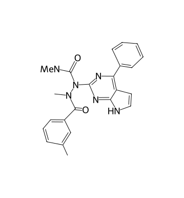 CNC(=O)N(c1nc(-c2ccccc2)c2cc[nH]c2n1)N(C)C(=O)c1cccc(C)c1